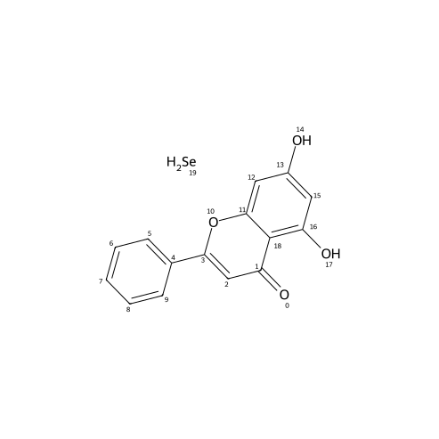 O=c1cc(-c2ccccc2)oc2cc(O)cc(O)c12.[SeH2]